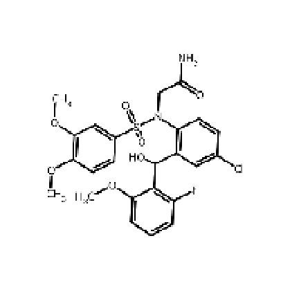 COc1ccc(S(=O)(=O)N(CC(N)=O)c2ccc(Cl)cc2C(O)c2c(F)cccc2OC)cc1OC